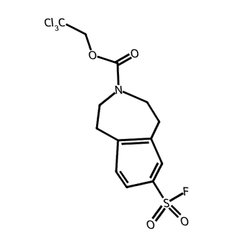 O=C(OCC(Cl)(Cl)Cl)N1CCc2ccc(S(=O)(=O)F)cc2CC1